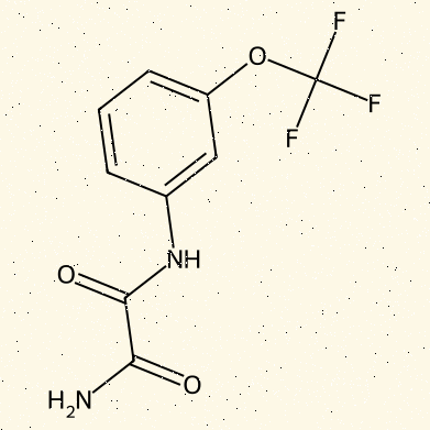 NC(=O)C(=O)Nc1cccc(OC(F)(F)F)c1